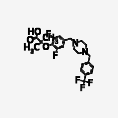 CC(C)(Oc1c(F)cc(CN2CCN(Cc3ccc(C(F)(F)F)cc3)CC2)cc1F)C(=O)O